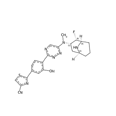 CN(c1cnc(-c2ccc(-c3nc(C#N)cs3)cc2O)nn1)[C@H]1C[C@@H]2CCC[C@@H](N2)[C@H]1F